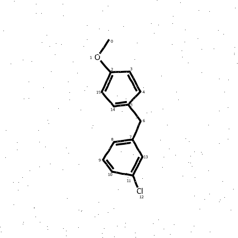 COc1ccc([CH]c2cccc(Cl)c2)cc1